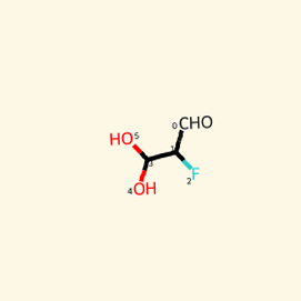 O=CC(F)C(O)O